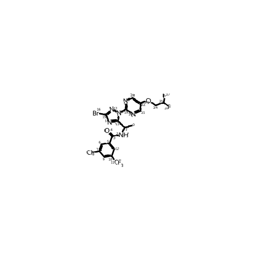 CC(NC(=O)c1cc(Cl)cc(C(F)(F)F)c1)c1nc(Br)nn1-c1ncc(OCC(F)F)cn1